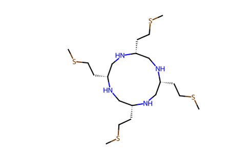 CSCC[C@@H]1CN[C@H](CCSC)CN[C@H](CCSC)CN[C@H](CCSC)CN1